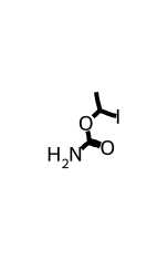 CC(I)OC(N)=O